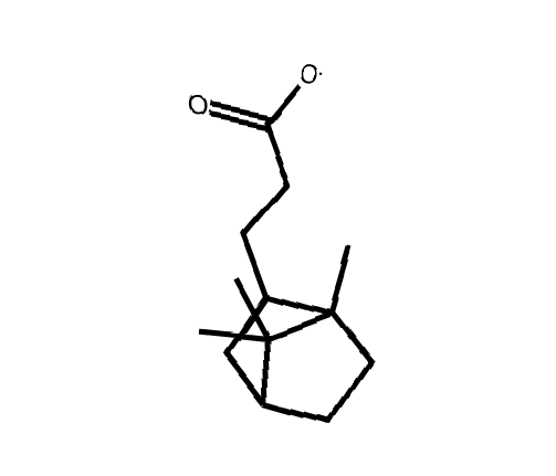 CC1(C)C2CCC1(C)C(CCC([O])=O)C2